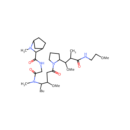 CCC(C)C(C(CC(=O)N1CCCC1C(OC)C(C)C(=O)NCCOC)OC)N(C)C(=O)CNC(=O)C1C2CCC(C2)N1C